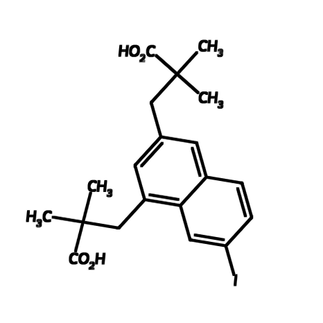 CC(C)(Cc1cc(CC(C)(C)C(=O)O)c2cc(I)ccc2c1)C(=O)O